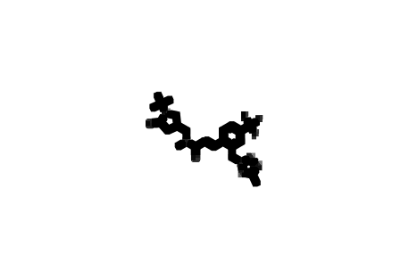 Cc1nnn(Cc2cc(C(F)(F)F)ccc2C=CC(=O)N(C)CC2CC(=O)N(C(C)(C)C)C2)n1